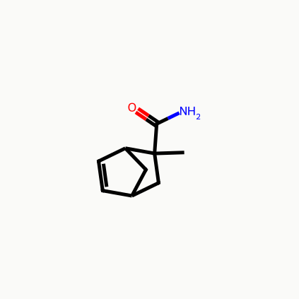 CC1(C(N)=O)CC2C=CC1C2